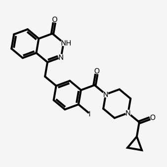 O=C(c1cc(Cc2n[nH]c(=O)c3ccccc23)ccc1I)N1CCN(C(=O)C2CC2)CC1